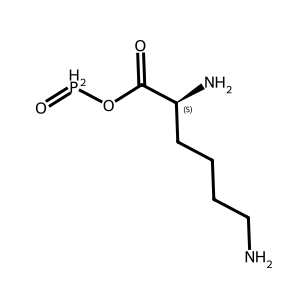 NCCCC[C@H](N)C(=O)O[PH2]=O